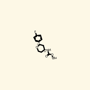 CC(C)(C)OC(=O)N[C@@H]1CCO[C@H](c2ccc(F)cc2)C1